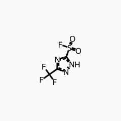 O=S(=O)(F)c1nc(C(F)(F)F)n[nH]1